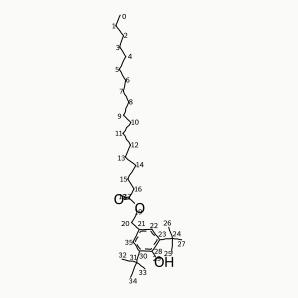 CCCCCCCCCCCCCCCCCC(=O)OCc1cc(C(C)(C)C)c(O)c(C(C)(C)C)c1